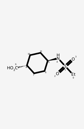 CCS(=O)(=O)N[C@H]1CC[C@H](C(=O)O)CC1